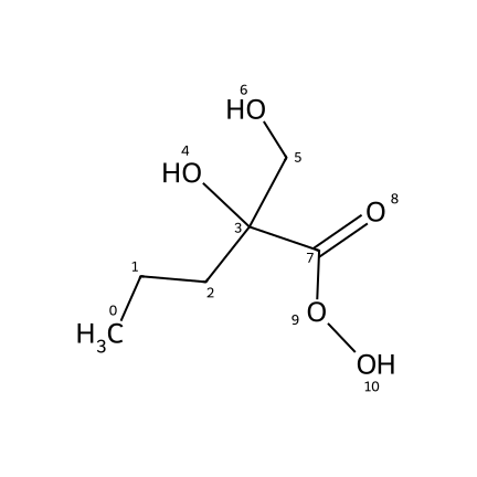 CCCC(O)(CO)C(=O)OO